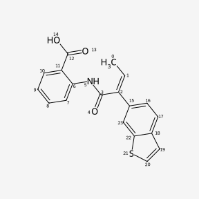 CC=C(C(=O)Nc1ccccc1C(=O)O)c1ccc2ccsc2c1